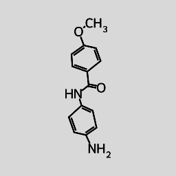 COc1ccc(C(=O)Nc2ccc(N)cc2)cc1